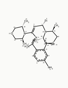 CC[C@@H](/N=C(\N=C(/N)c1cnc(N)cc1C(F)F)N1[C@@H](C)COC[C@@H]1C)N1[C@@H](C)COC[C@@H]1C